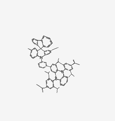 Cc1ccc2c(c1)C1(c3ccccc3-c3ccccc31)c1cc(C)ccc1N2c1cccc(-c2ccc3c(c2)B(c2c(C(C)C)cc(C(C)C)cc2C(C)C)c2ccccc2B3c2c(C(C)C)cc(C(C)C)cc2C(C)C)c1